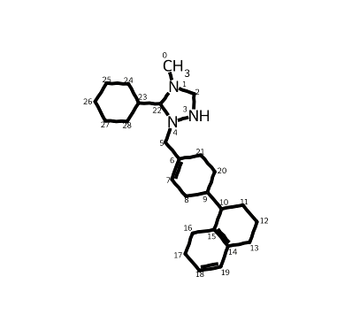 CN1CNN(CC2=CCC(C3CCCC4=C3CCC=C4)CC2)C1C1CCCCC1